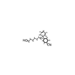 N#Cc1ccc(C2(OCCCCCCO)C=CC=CC2)cc1